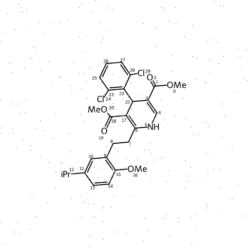 COC(=O)C1=CNC(CCc2cc(C(C)C)ccc2OC)=C(C(=O)OC)C1c1c(Cl)cccc1Cl